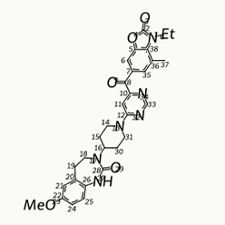 CCn1c(=O)oc2cc(C(=O)c3cc(N4CCC(N5CCc6cc(OC)ccc6NC5=O)CC4)ncn3)cc(C)c21